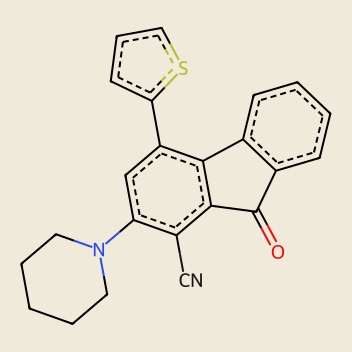 N#Cc1c(N2CCCCC2)cc(-c2cccs2)c2c1C(=O)c1ccccc1-2